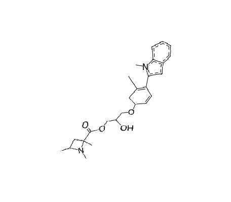 CC1=C(c2cc3ccccc3n2C)C=CC(OCC(O)COC(=O)C2(C)CC(C)N2C)C1